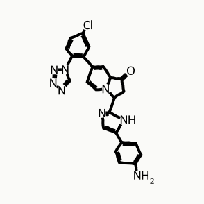 Nc1ccc(-c2cnc(C3CC(=O)C4C=C(c5cc(Cl)ccc5-n5cnnn5)C=CN43)[nH]2)cc1